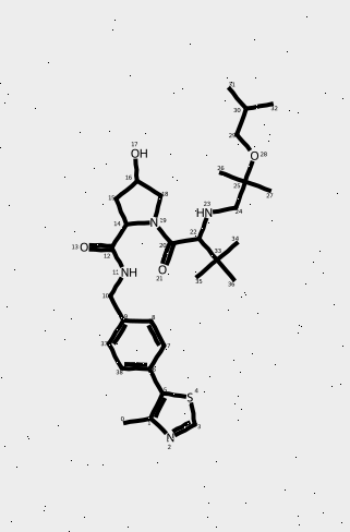 Cc1ncsc1-c1ccc(CNC(=O)C2CC(O)CN2C(=O)C(NCC(C)(C)OCC(C)C)C(C)(C)C)cc1